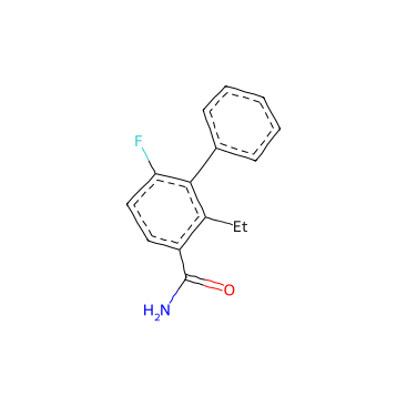 CCc1c(C(N)=O)ccc(F)c1-c1ccccc1